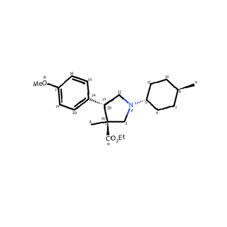 CCOC(=O)[C@]1(C)CN([C@H]2CC[C@H](C)CC2)C[C@H]1c1ccc(OC)cc1